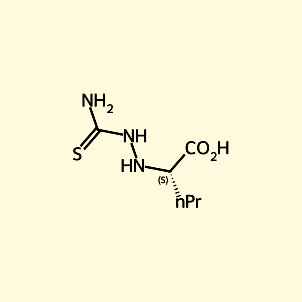 CCC[C@H](NNC(N)=S)C(=O)O